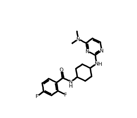 CN(C)c1ccnc(NC2CCC(NC(=O)c3ccc(F)cc3F)CC2)n1